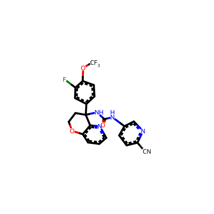 N#Cc1ccc(NC(=O)NC2(c3ccc(OC(F)(F)F)c(F)c3)CCOc3cccnc32)cn1